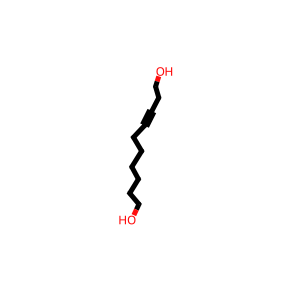 OCCC#CCCCCCCO